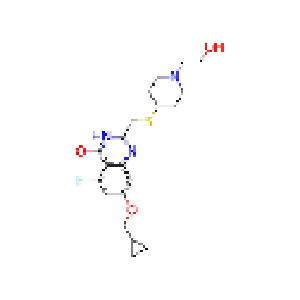 O=c1[nH]c(CSC2CCN(CCO)CC2)nc2cc(OCC3CC3)cc(F)c12